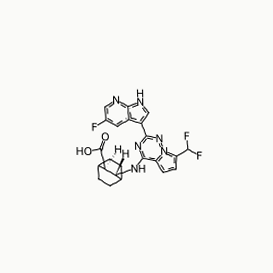 O=C(O)[C@@H]1C2CCC(CC2)[C@H]1Nc1nc(-c2c[nH]c3ncc(F)cc23)nn2c(C(F)F)ccc12